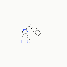 CC(C)C1(N)CCc2ccc(CC(C)C3(N)CCc4cc(Br)ccc4C3)cc2C1